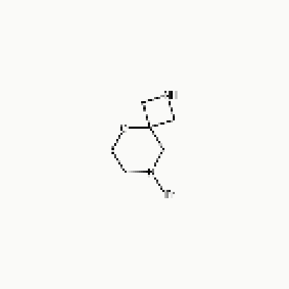 CC(C)N1CCOC2(CNC2)C1